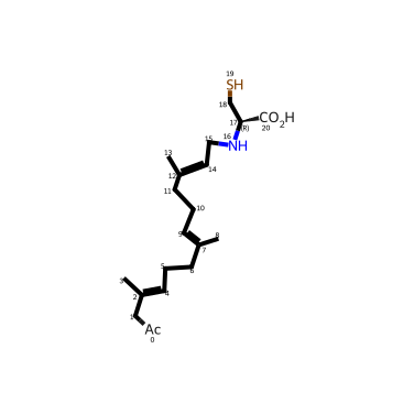 CC(=O)CC(C)=CCCC(C)=CCCC(C)=CCN[C@@H](CS)C(=O)O